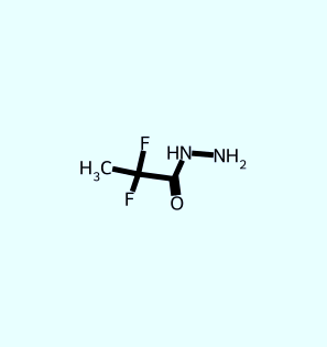 CC(F)(F)C(=O)NN